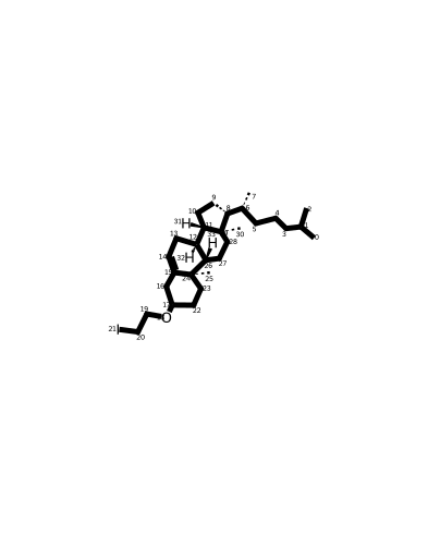 CC(C)CCC[C@@H](C)[C@H]1CC[C@H]2[C@@H]3CC=C4CC(OCCI)CC[C@]4(C)[C@H]3CC[C@]12C